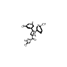 O=C1CN(C(=O)c2cc(-c3cc(F)cc(Cl)c3)n(-c3ccc(Cl)nc3)n2)CN1